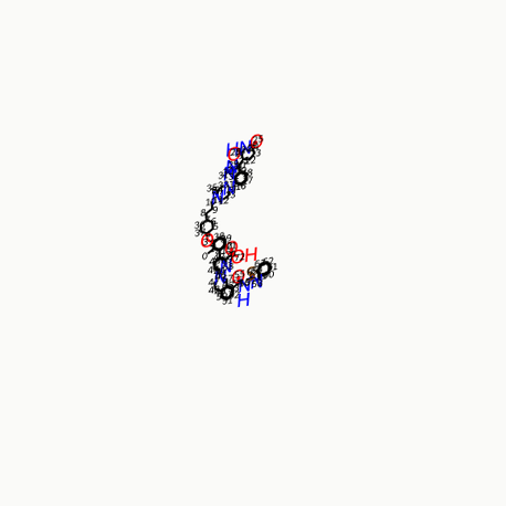 Cc1c(OC2CCC(CCCN3CCN(c4cccc5c(C6CCC(=O)NC6=O)nn(C)c45)C[C@@H]3C)CC2)cccc1-c1ccc(N2CCc3cccc(C(=O)Nc4nc5ccccc5s4)c3C2)nc1C(=O)O